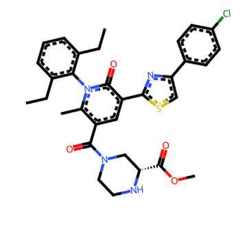 CCc1cccc(CC)c1-n1c(C)c(C(=O)N2CCN[C@@H](C(=O)OC)C2)cc(-c2nc(-c3ccc(Cl)cc3)cs2)c1=O